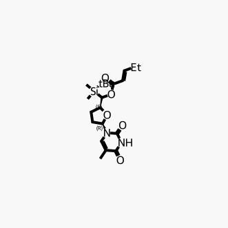 CCC=CC(=O)OC([C@@H]1CC[C@H](n2cc(C)c(=O)[nH]c2=O)O1)[Si](C)(C)C(C)(C)C